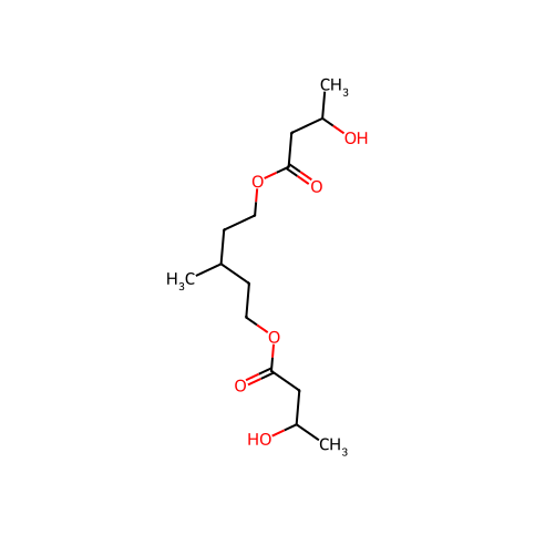 CC(O)CC(=O)OCCC(C)CCOC(=O)CC(C)O